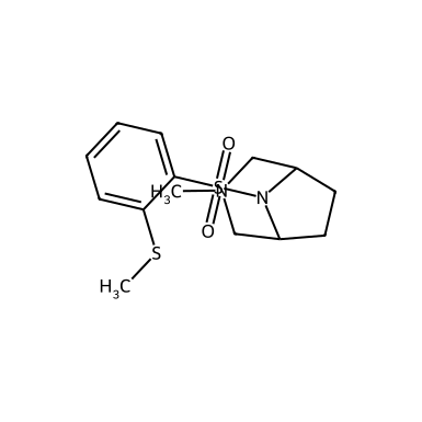 CSc1ccccc1S(=O)(=O)N1C2CCC1CN(C)C2